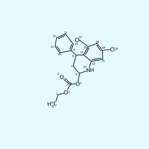 CCOC(=O)OC1CC(c2ccccc2)c2c(Cl)cc(Cl)cc2N1